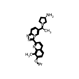 Cc1c(OC(C)C)ccc2ccc(-c3nnc4ccc([C@H](C)N5CC[C@H](N)C5)cn34)nc12